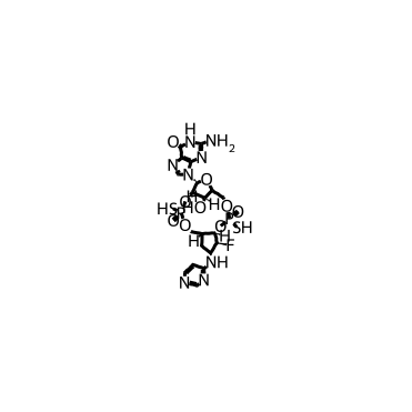 Nc1nc2c(ncn2[C@@H]2OC3COP(=O)(S)O[C@@H]4[C@@H](COP(=O)(S)O[C@@H]2[C@@H]3O)C[C@@H](Nc2ccncn2)[C@@H]4F)c(=O)[nH]1